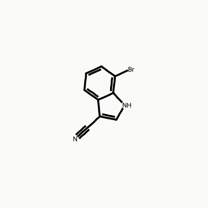 N#Cc1c[nH]c2c(Br)cccc12